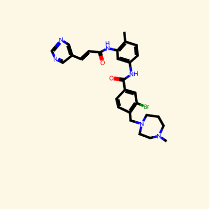 Cc1ccc(NC(=O)c2ccc(CN3CCCN(C)CC3)c(Br)c2)cc1NC(=O)/C=C/c1cncnc1